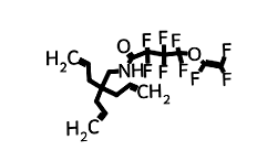 C=CCC(CC=C)(CC=C)CNC(=O)C(F)(F)C(F)(F)C(F)(F)OC(F)=C(F)F